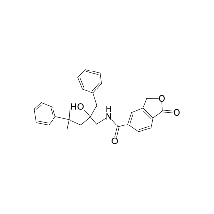 CC(C)(CC(O)(CNC(=O)c1ccc2c(c1)COC2=O)Cc1ccccc1)c1ccccc1